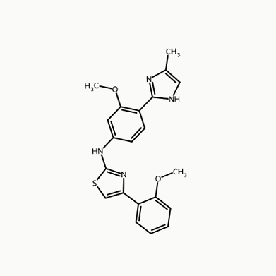 COc1ccccc1-c1csc(Nc2ccc(-c3nc(C)c[nH]3)c(OC)c2)n1